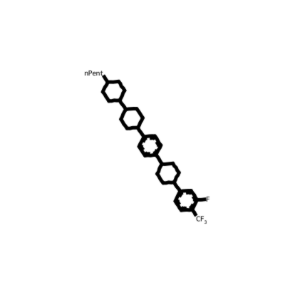 CCCCCC1CCC(C2CCC(c3ccc(C4CCC(c5ccc(C(F)(F)F)c(F)c5)CC4)cc3)CC2)CC1